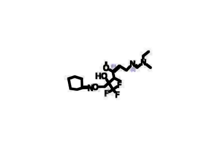 CCN(C)/C=N/C/C=C(/OC)C(C)C(O)(CON=C1CCCCC1)C(F)(F)F